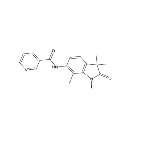 CN1C(=O)C(C)(C)c2ccc(NC(=O)c3cccnc3)c(F)c21